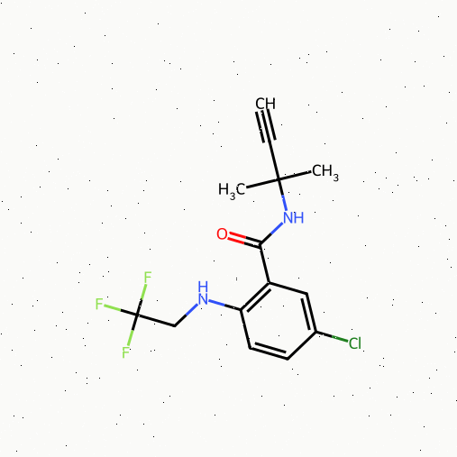 C#CC(C)(C)NC(=O)c1cc(Cl)ccc1NCC(F)(F)F